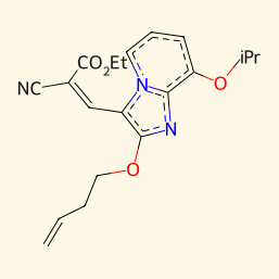 C=CCCOc1nc2c(OC(C)C)cccn2c1C=C(C#N)C(=O)OCC